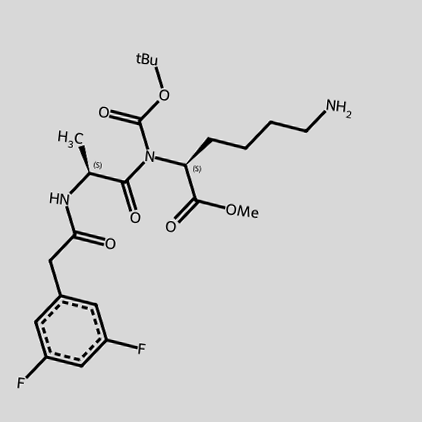 COC(=O)[C@H](CCCCN)N(C(=O)OC(C)(C)C)C(=O)[C@H](C)NC(=O)Cc1cc(F)cc(F)c1